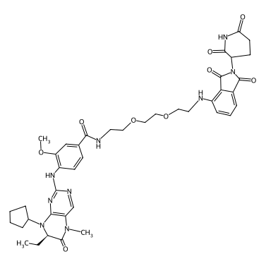 CC[C@@H]1C(=O)N(C)c2cnc(Nc3ccc(C(=O)NCCOCCOCCNc4cccc5c4C(=O)N(C4CCC(=O)NC4=O)C5=O)cc3OC)nc2N1C1CCCC1